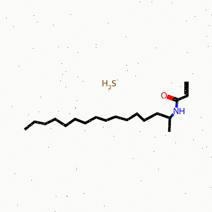 C=CC(=O)NC(C)CCCCCCCCCCCCCC.S